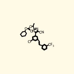 CC(OC(=O)OC1CCCCC1)n1nc(C#N)c(-c2cc(Cl)cc(/C=C/c3cccc(C(F)(F)F)c3)c2)n1